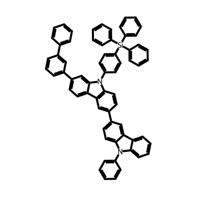 c1ccc(-c2cccc(-c3ccc4c5cc(-c6ccc7c(c6)c6ccccc6n7-c6ccccc6)ccc5n(-c5ccc([Si](c6ccccc6)(c6ccccc6)c6ccccc6)cc5)c4c3)c2)cc1